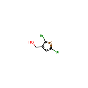 OCc1cc(Br)sc1Br